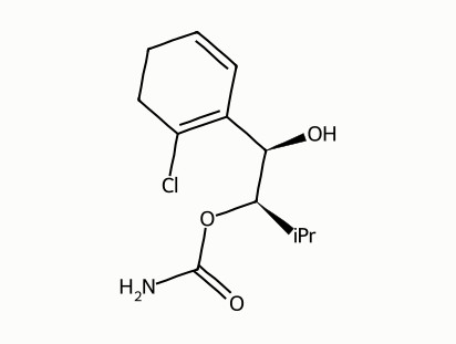 CC(C)[C@@H](OC(N)=O)[C@H](O)C1=C(Cl)CCC=C1